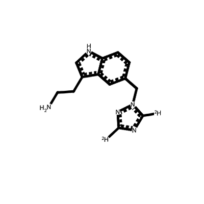 [2H]c1nc([2H])n(Cc2ccc3[nH]cc(CCN)c3c2)n1